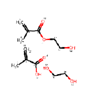 C=C(C)C(=O)O.C=C(C)C(=O)OCCO.OCCO